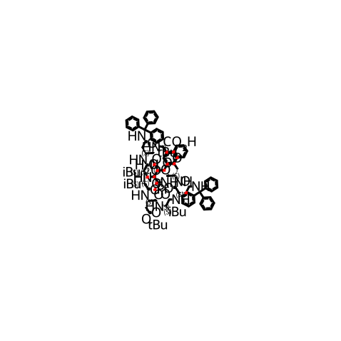 CC[C@H](C)[C@H](NC(=O)[C@H](CC(=O)OC(C)(C)C)NC(=O)[C@@H](NC(=O)[C@@H](N)Cc1ccccc1)[C@@H](C)CC)C(=O)N[C@@H](CC(=O)NC(c1ccccc1)(c1ccccc1)c1ccccc1)C(=O)N[C@@H](CC(=O)OC(C)(C)C)C(=O)N[C@H](C(=O)N[C@H](C(=O)N[C@@H](CC(=O)NC(c1ccccc1)(c1ccccc1)c1ccccc1)C(=O)N[C@@H](Cc1ccccc1)C(=O)O)[C@@H](C)CC)C(C)C